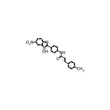 Cc1ccc(/C=C/C(=O)Nc2ccc(-c3nc4ccc([N+](=O)[O-])cc4n3O)cc2)cc1